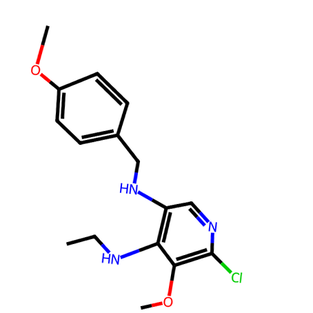 CCNc1c(NCc2ccc(OC)cc2)cnc(Cl)c1OC